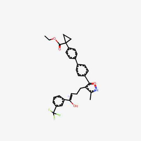 CCOC(=O)C1(c2ccc(-c3ccc(-c4onc(C)c4CC/C=C(\O)c4cccc(C(F)(F)F)c4)cc3)cc2)CC1